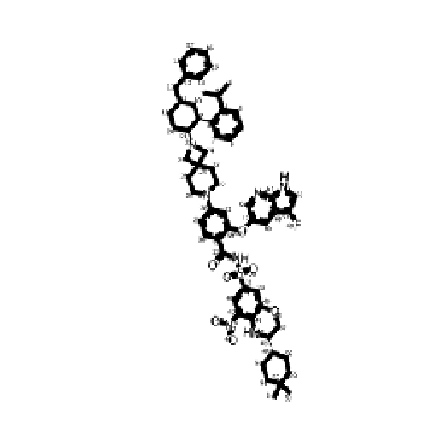 CC(C)c1ccccc1[C@@H]1CC(Cc2ccccc2)CC[C@@H]1N1CC2(CCN(c3ccc(C(=O)NS(=O)(=O)c4cc5c(c([N+](=O)[O-])c4)N[C@@H](C4CCC(C)(C)CC4)CO5)c(Oc4cnc5[nH]cc(F)c5c4)c3)CC2)C1